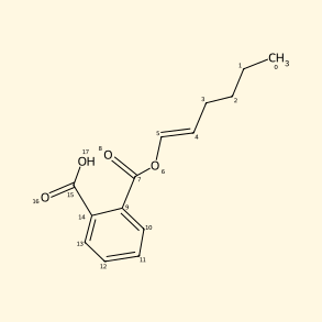 CCCC/C=C/OC(=O)c1ccccc1C(=O)O